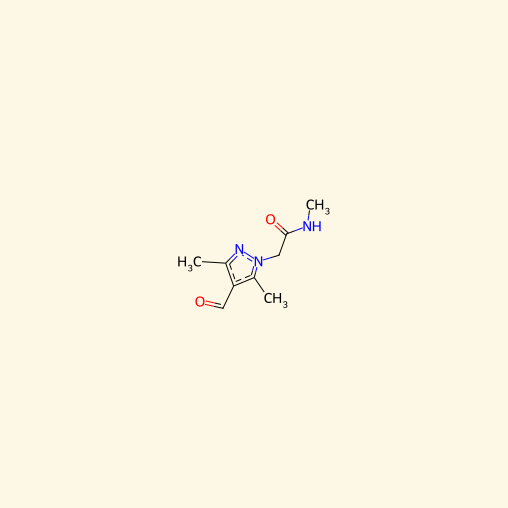 CNC(=O)Cn1nc(C)c(C=O)c1C